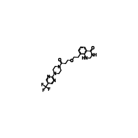 O=C1NCNc2c(CCOCCC(=O)N3CCN(c4ncc(C(F)(F)F)cn4)CC3)cccc21